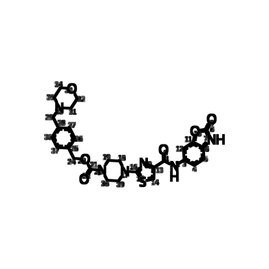 O=C(Nc1ccc2[nH]c(=O)oc2c1)c1csc(N2CCN(C(=O)OCc3ccc(CN4CCOCC4)cc3)CC2)n1